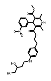 COC(=O)C1=C(C)NC(C)=C(C(=O)OCCc2ccc(NCCC(O)CO)cc2)C1c1cccc([N+](=O)[O-])c1